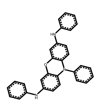 c1ccc(Nc2ccc3c(c2)Oc2cc(Nc4ccccc4)ccc2N3c2ccccc2)cc1